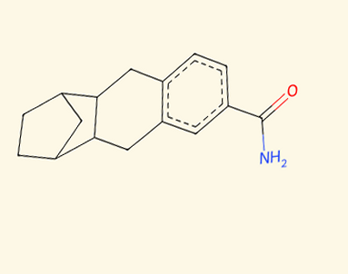 NC(=O)c1ccc2c(c1)CC1C3CCC(C3)C1C2